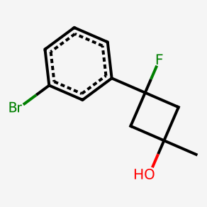 CC1(O)CC(F)(c2cccc(Br)c2)C1